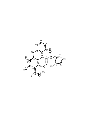 Cc1cnc(C)c(C(=O)N(C)[C@H](CCNC(=O)c2cccn2C)Cc2ccccc2)c1